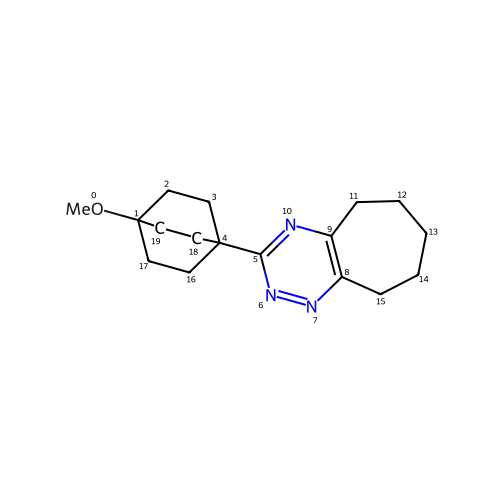 COC12CCC(c3nnc4c(n3)CCCCC4)(CC1)CC2